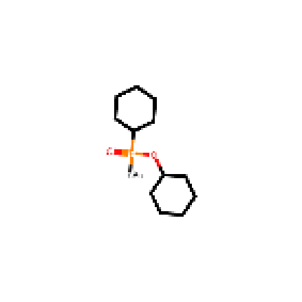 CCCCP(=O)(OC1CCCCC1)C1CCCCC1